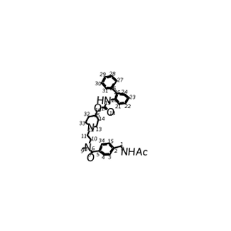 CC(=O)NCc1ccc(C(=O)N(C)CCN2CCC(OC(=O)Nc3ccccc3-c3ccccc3)CC2)cc1